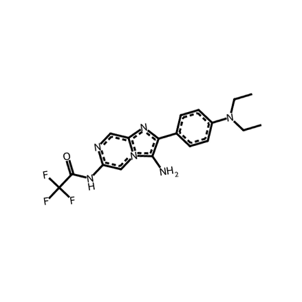 CCN(CC)c1ccc(-c2nc3cnc(NC(=O)C(F)(F)F)cn3c2N)cc1